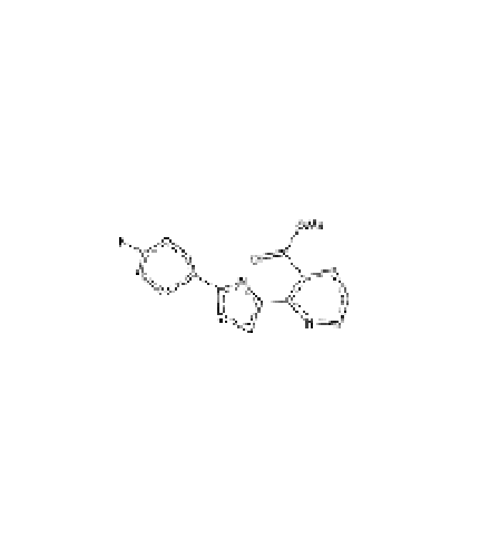 COC(=O)c1cccnc1-c1csc(-c2ccc(F)cc2)n1